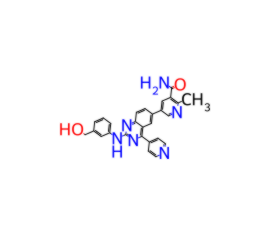 Cc1ncc(-c2ccc3nc(Nc4cccc(CO)c4)nc(-c4ccncc4)c3c2)cc1C(N)=O